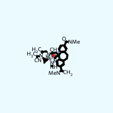 C=C(NC)c1ccc2c(c1)CCc1cc(C(=O)NC)ccc1C2(CC(C)(C)NCC(=C)N(C(C)C#N)C1CC1)/C(N)=N/N=N